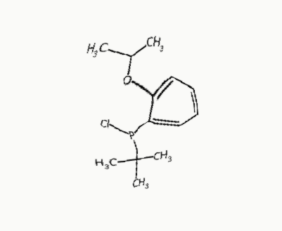 CC(C)Oc1ccccc1P(Cl)C(C)(C)C